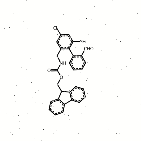 O=Cc1ccccc1-c1c(S)cc(Cl)cc1CNC(=O)OCC1c2ccccc2-c2ccccc21